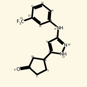 O=C1CCC(c2cc(Nc3cccc(C(F)(F)F)c3)n[nH]2)C1